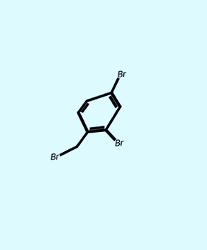 BrCc1ccc(Br)cc1Br